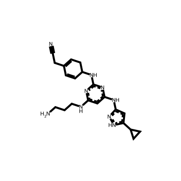 N#CCC1=CCC(Nc2nc(NCCCN)cc(Nc3cc(C4CC4)[nH]n3)n2)C=C1